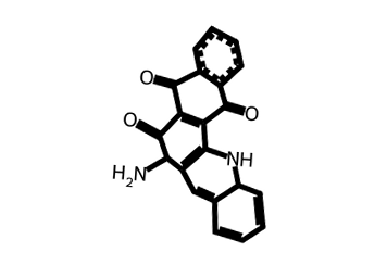 NC1C(=O)C2=C(C(=O)c3ccccc3C2=O)C2=C1C=C1C=CC=CC1N2